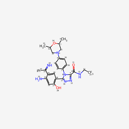 CC1CN(c2ccc(-n3c(C(=O)NCC(F)(F)F)nnc3-c3cc(C(=N)C(C)C)c(N)cc3O)cc2)CC(C)O1